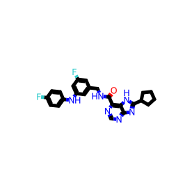 O=C(NCc1cc(F)cc(Nc2ccc(F)cc2)c1)c1ncnc2nc(C3CCCC3)[nH]c12